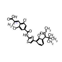 CCOC(c1cccc(-c2csc(NC(=O)c3cc(Cl)c(/C=C(\C)C(=O)O)c(Cl)c3)n2)c1OC)C(C)(C)C